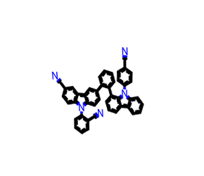 N#Cc1ccc(-n2c3ccccc3c3cccc(-c4ccccc4-c4ccc5c(c4)c4cc(C#N)ccc4n5-c4ccccc4C#N)c32)cc1